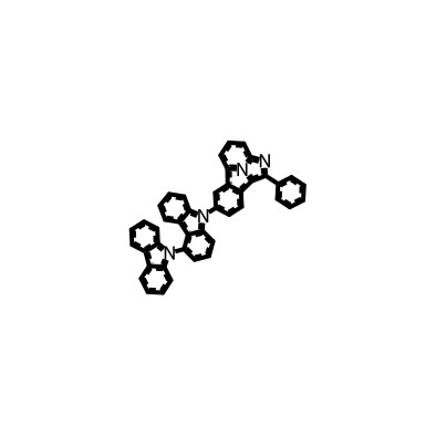 c1ccc(-c2nc3cccc4c5cc(-n6c7ccccc7c7c(-n8c9ccccc9c9ccccc98)cccc76)ccc5c2n34)cc1